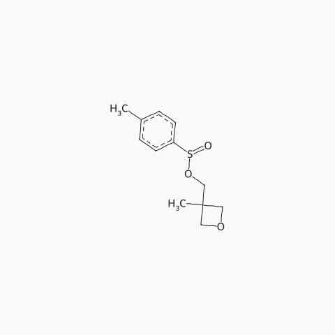 Cc1ccc(S(=O)OCC2(C)COC2)cc1